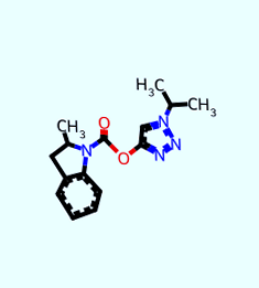 CC1Cc2ccccc2N1C(=O)Oc1cn(C(C)C)nn1